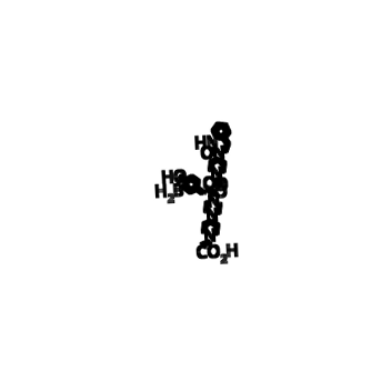 Bc1cc(C[C@@H](OC(=O)N2CCC(N3CCc4ccccc4NC3=O)CC2)C(=O)N2CCN(C3CCN(CCC(=O)O)CC3)CC2)ccc1O